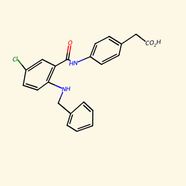 O=C(O)Cc1ccc(NC(=O)c2cc(Cl)ccc2NCc2ccccc2)cc1